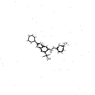 CC(C)(O)c1cc2nc(C3CCCCC3)sc2cc1NCc1cccc(C(F)(F)F)n1